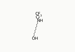 OCCCCCCCCCCCNc1ccc(C(F)(F)F)cc1